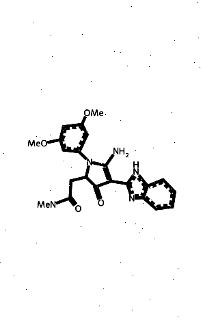 CNC(=O)CC1C(=O)C(c2nc3ccccc3[nH]2)=C(N)N1c1cc(OC)cc(OC)c1